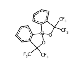 FC(F)(F)C1(C(F)(F)F)O[Si]2(OC(C(F)(F)F)(C(F)(F)F)c3ccccc32)c2ccccc21